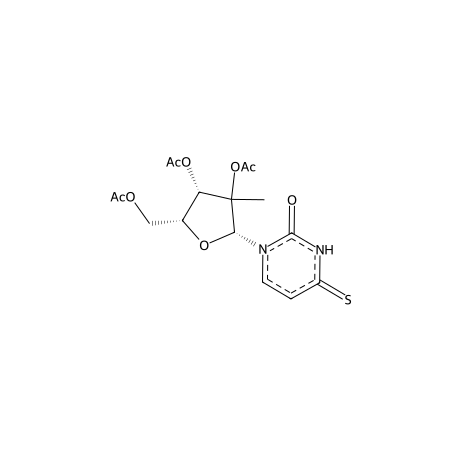 CC(=O)OC[C@H]1O[C@@H](n2ccc(=S)[nH]c2=O)C(C)(OC(C)=O)[C@H]1OC(C)=O